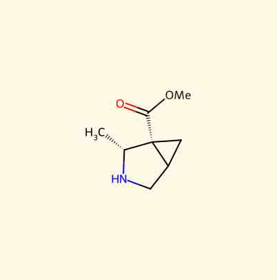 COC(=O)[C@]12CC1CN[C@@H]2C